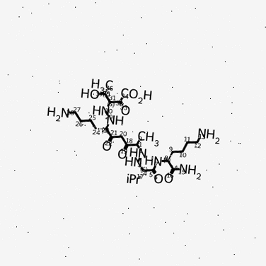 CC(NN[C@H](C(=O)N[C@@H](CCCCN)C(N)=O)C(C)C)C(=O)CC(=O)[C@H](CCCCN)NN[C@H](C(=O)C(=O)O)[C@@H](C)O